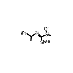 CS/C(=N\C(C)C(C)C)[S+](C)[O-]